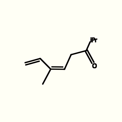 C=CC(C)=CCC(=O)C(C)C